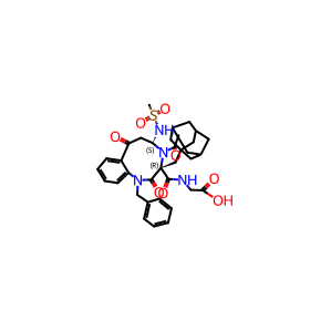 CC(=O)N1[C@@H](NS(C)(=O)=O)CC(=O)c2ccccc2N(Cc2ccccc2)C(=O)[C@@]1(CC12CC3CC(CC(C3)C1)C2)C(=O)NCC(=O)O